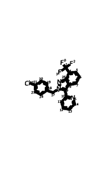 FC(F)(F)c1cccc2c(-c3ccccn3)n(Cc3ccc(Cl)cc3)nc12